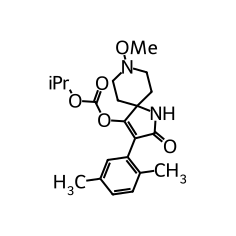 CON1CCC2(CC1)NC(=O)C(c1cc(C)ccc1C)=C2OC(=O)OC(C)C